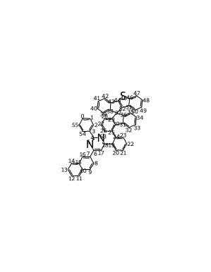 c1ccc(-c2nc(-c3ccc4ccccc4c3)cc(-c3ccccc3-c3cccc4c3-c3ccccc3C43c4ccccc4-c4sc5ccccc5c43)n2)cc1